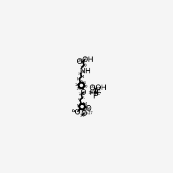 COc1cc(CCCOc2ccc(CCCNCCC(=O)O)cc2)cc(OC)c1OC.O=C(O)C(F)(F)F